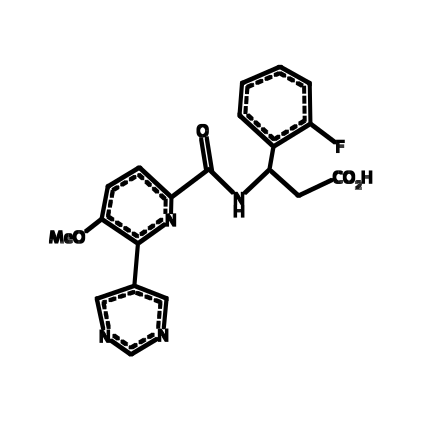 COc1ccc(C(=O)NC(CC(=O)O)c2ccccc2F)nc1-c1cncnc1